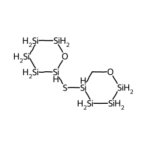 C1O[SiH2][SiH2][SiH2][SiH]1S[SiH]1O[SiH2][SiH2][SiH2][SiH2]1